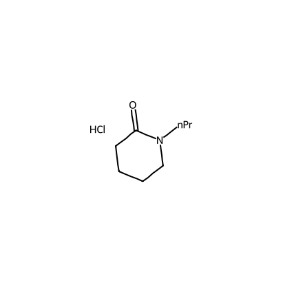 CCCN1CCCCC1=O.Cl